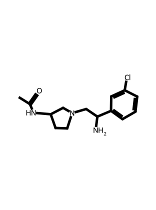 CC(=O)NC1CCN(CC(N)c2cccc(Cl)c2)C1